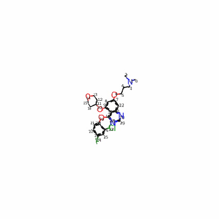 CN(C)CCCOc1cc(OC2CCOCC2)c2c(Oc3ccc(F)cc3Cl)ncnc2c1